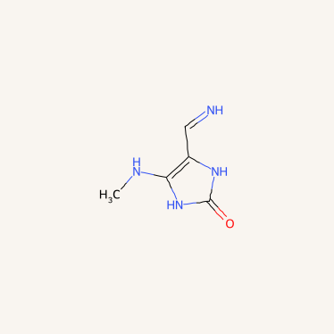 CNc1[nH]c(=O)[nH]c1C=N